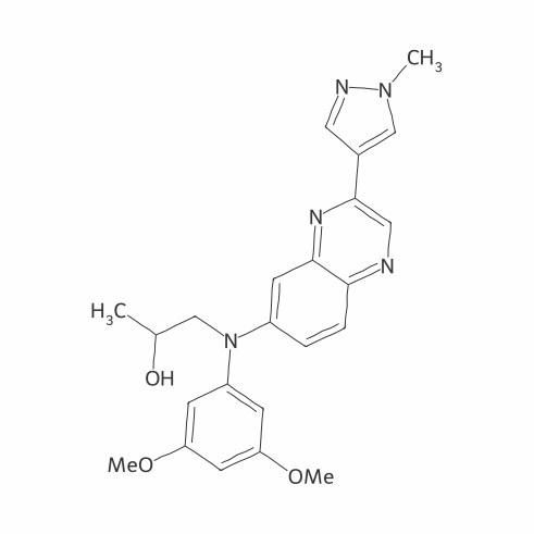 COc1cc(OC)cc(N(CC(C)O)c2ccc3ncc(-c4cnn(C)c4)nc3c2)c1